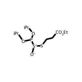 CCOC(=O)CCS[S+]([O-])P(OC(C)C)OC(C)C